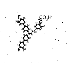 Cc1cc(SCC=C(c2ccc(-c3ccc(F)c(F)c3)cc2)c2ccc(-c3ccc(F)c(F)c3)cc2)ccc1OCC(=O)O